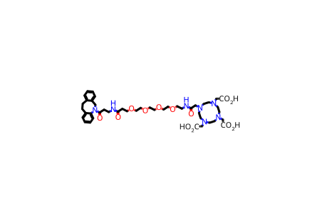 O=C(O)CN1CCN(CC(=O)O)CCN(CC(=O)NCCOCCOCCOCCOCCC(=O)NCCC(=O)N2Cc3ccccc3CCc3ccccc32)CCN(CC(=O)O)CC1